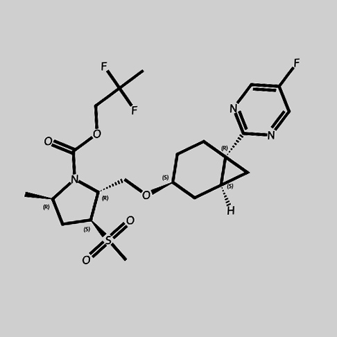 C[C@@H]1C[C@H](S(C)(=O)=O)[C@@H](CO[C@H]2CC[C@@]3(c4ncc(F)cn4)C[C@H]3C2)N1C(=O)OCC(C)(F)F